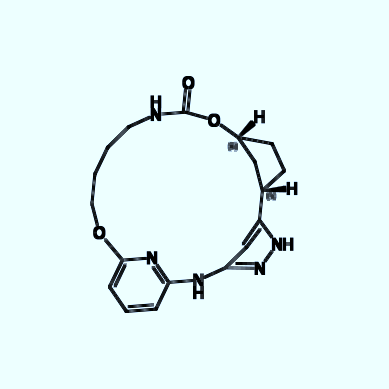 O=C1NCCCCOc2cccc(n2)Nc2cc([nH]n2)[C@H]2CC[C@H](C2)O1